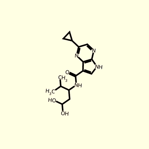 CC(C)C(CC(O)O)NC(=O)c1c[nH]c2ncc(C3CC3)nc12